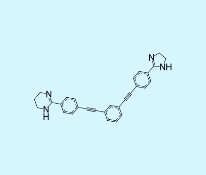 C(#Cc1cccc(C#Cc2ccc(C3=NCCN3)cc2)c1)c1ccc(C2=NCCCN2)cc1